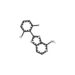 Nc1nccc2nc(-c3c(F)cccc3Cl)sc12